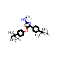 CCC(C)(C)c1ccc(Oc2sc(NC)nc2-c2ccc(C(C)(C)C)cc2)cc1